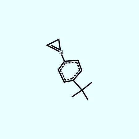 CC(C)(C)c1ccc([Si]2=CC2)cc1